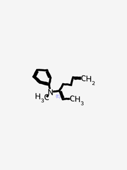 C=CCC/C(=C\C)N(C)C1=C=C=CC=C1